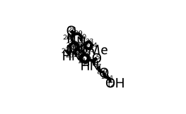 COc1cc(C(=O)NCCOCCO)ccc1NC1=NC2=C(C[N+]13CC3)N(C)C(=O)CCN2C1CCCC1